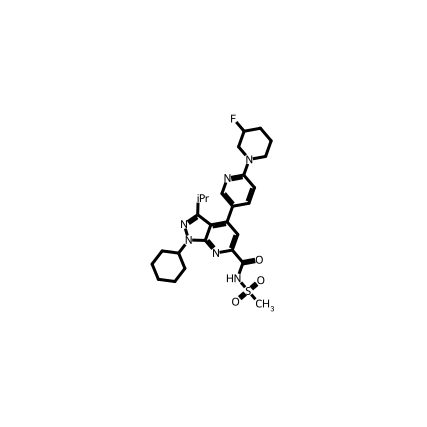 CC(C)c1nn(C2CCCCC2)c2nc(C(=O)NS(C)(=O)=O)cc(-c3ccc(N4CCCC(F)C4)nc3)c12